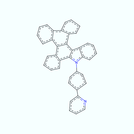 c1ccc(-c2ccc(-n3c4ccccc4c4c5c6ccccc6c6ccccc6c5c5ccccc5c43)cc2)nc1